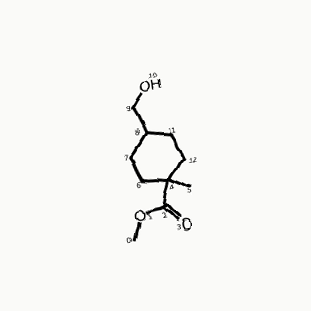 COC(=O)C1(C)CCC(CO)CC1